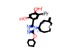 C=C1/C=C\C(n2c(OC3CCCCC3)nnc2-c2cc(C(C)C)c(O)cc2O)=C/CCCC1